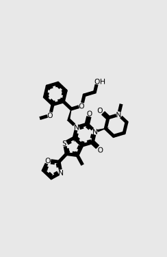 COc1ccccc1[C@H](Cn1c(=O)n([C@@H]2CCCN(C)C2=O)c(=O)c2c(C)c(-c3ncco3)sc21)OCCO